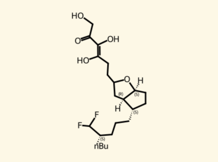 CCCC[C@@H](CCC[C@H]1CC[C@@H]2OC(CCC(O)=C(O)C(=O)CO)C[C@H]12)C(F)F